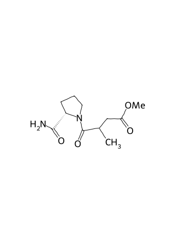 COC(=O)CC(C)C(=O)N1CCC[C@H]1C(N)=O